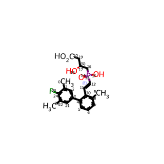 Cc1cc(-c2cccc(C)c2/C=C/P(=O)(O)C[C@@H](O)CC(=O)O)cc(C)c1F